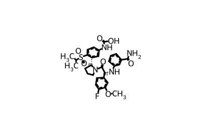 COc1cc([C@@H](Nc2cccc(C(N)=O)c2)C(=O)N2CCC[C@@H]2c2cc(NC(=O)O)ccc2S(=O)(=O)C(C)C)ccc1F